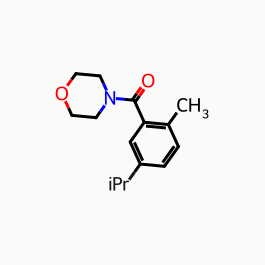 Cc1ccc(C(C)C)cc1C(=O)N1CCOCC1